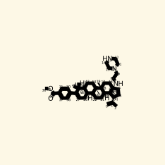 C=C(C)[C@@H]1CC[C@]2(NCCN3CCNCC3)CC[C@]3(C)[C@H](CC[C@@H]4[C@@]5(C)CC=C(c6ccc(C(=O)OC)cc6)C(C)(C)[C@@H]5CC[C@]43C)[C@@H]12